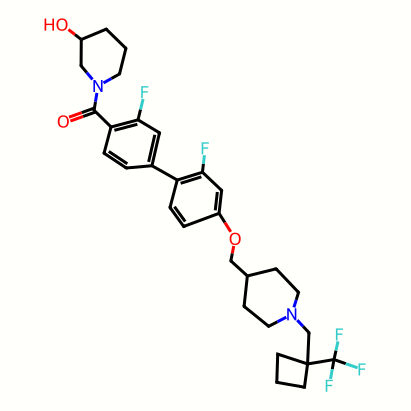 O=C(c1ccc(-c2ccc(OCC3CCN(CC4(C(F)(F)F)CCC4)CC3)cc2F)cc1F)N1CCCC(O)C1